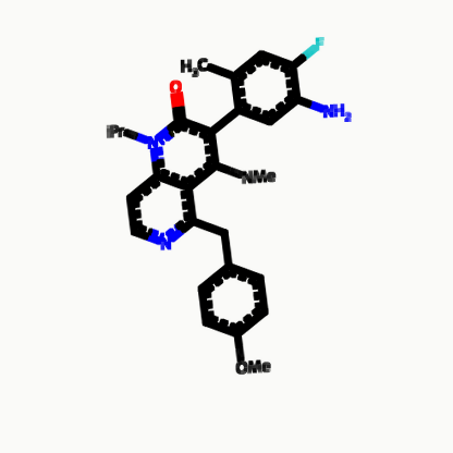 CNc1c(-c2cc(N)c(F)cc2C)c(=O)n(C(C)C)c2ccnc(Cc3ccc(OC)cc3)c12